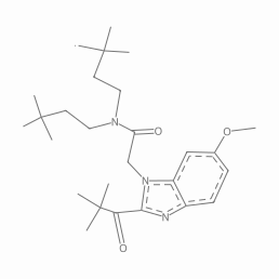 [CH2]C(C)(C)CCN(CCC(C)(C)C)C(=O)Cn1c(C(=O)C(C)(C)C)nc2ccc(OC)cc21